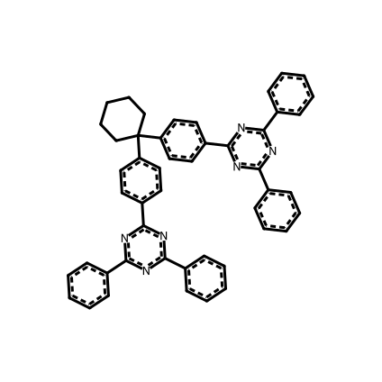 c1ccc(-c2nc(-c3ccccc3)nc(-c3ccc(C4(c5ccc(-c6nc(-c7ccccc7)nc(-c7ccccc7)n6)cc5)CCCCC4)cc3)n2)cc1